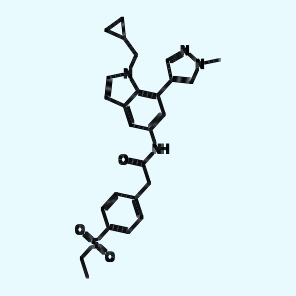 CCS(=O)(=O)c1ccc(CC(=O)Nc2cc(-c3cnn(C)c3)c3c(ccn3CC3CC3)c2)cc1